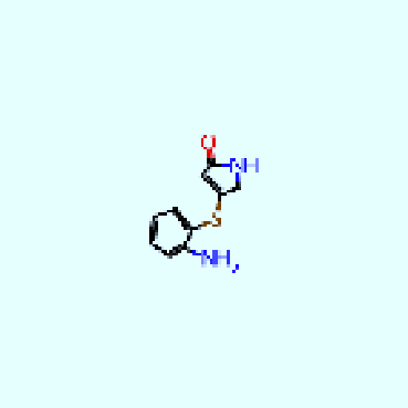 Nc1ccccc1SC1=CC(=O)NC1